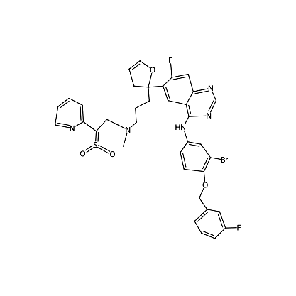 CN(CCCC1(c2cc3c(Nc4ccc(OCc5cccc(F)c5)c(Br)c4)ncnc3cc2F)CC=CO1)CC(c1ccccn1)=S(=O)=O